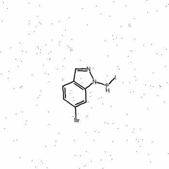 Brc1ccc2cnn(PI)c2c1